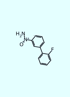 N[N+](=O)c1[c]ccc(-c2ccccc2F)c1